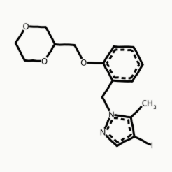 Cc1c(I)cnn1Cc1ccccc1OCC1COCCO1